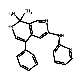 CC1(N)NC=C(c2ccccc2)c2cc(Nc3ccccn3)ncc21